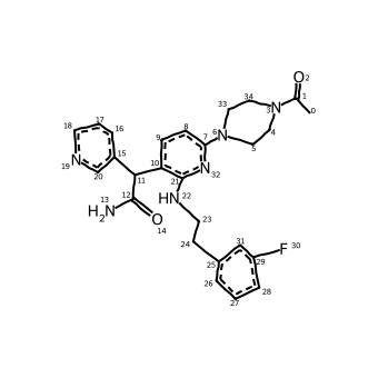 CC(=O)N1CCN(c2ccc(C(C(N)=O)c3cccnc3)c(NCCc3cccc(F)c3)n2)CC1